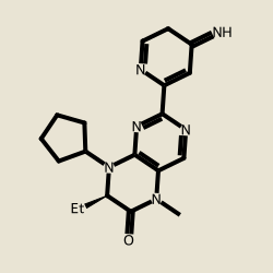 CC[C@@H]1C(=O)N(C)c2cnc(C3=CC(=N)CC=N3)nc2N1C1CCCC1